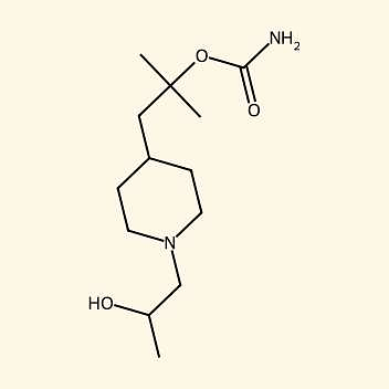 CC(O)CN1CCC(CC(C)(C)OC(N)=O)CC1